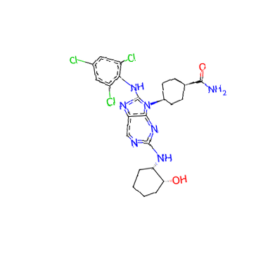 NC(=O)[C@H]1CC[C@@H](n2c(Nc3c(Cl)cc(Cl)cc3Cl)nc3cnc(N[C@H]4CCCC[C@H]4O)nc32)CC1